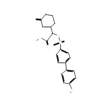 COC(=O)C(NS(=O)(=O)c1ccc(-c2ccc(OC)cc2)cc1)C1CCCC(=O)C1